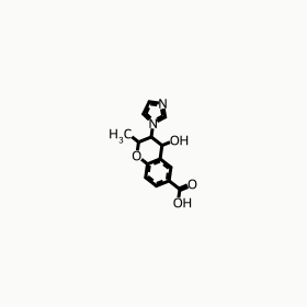 CC1Oc2ccc(C(=O)O)cc2C(O)C1n1ccnc1